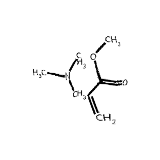 C=CC(=O)OC.CN(C)C